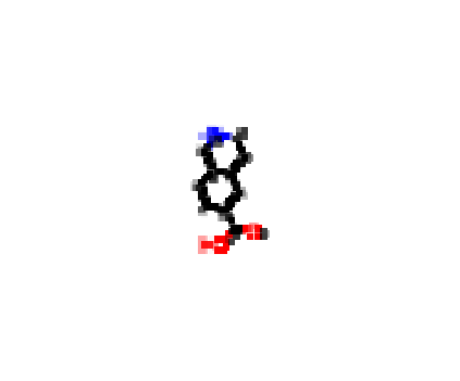 O=C(O)c1ccc2c(c1)=CCNC=2